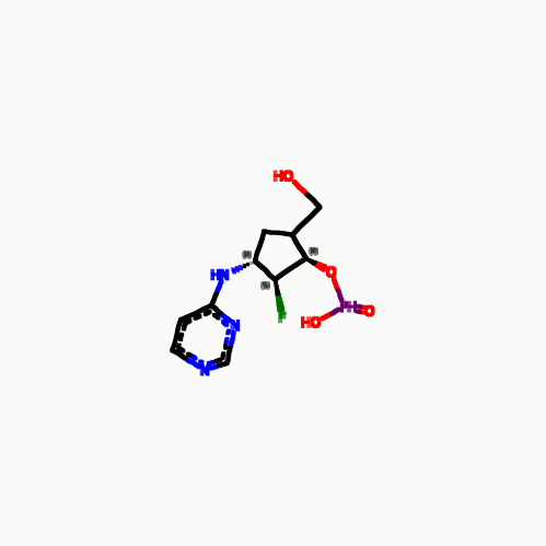 O=[PH](O)O[C@@H]1C(CO)C[C@@H](Nc2ccncn2)[C@@H]1F